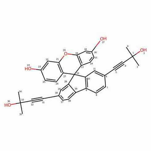 CC(C)(O)C#Cc1ccc2c(c1)C1(c3ccc(O)cc3Oc3cc(O)ccc31)c1cc(C#CC(C)(C)O)ccc1-2